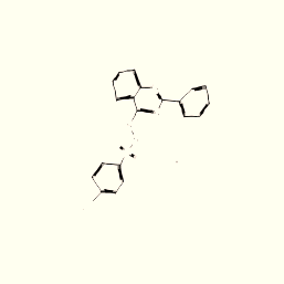 Cc1ccc(S(=O)(=O)NNc2nc(-c3ccccc3)nc3ccccc23)cc1.Cl